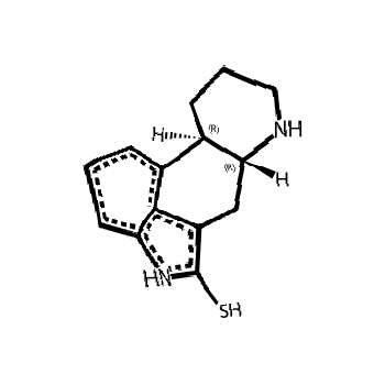 Sc1[nH]c2cccc3c2c1C[C@H]1NCCC[C@H]31